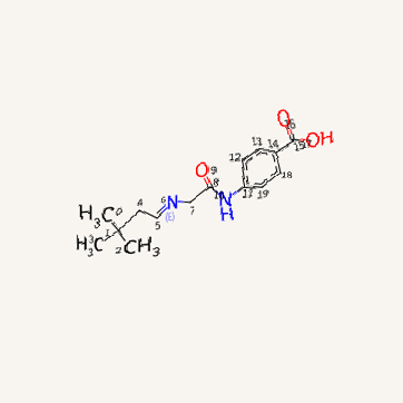 CC(C)(C)C/C=N/CC(=O)Nc1ccc(C(=O)O)cc1